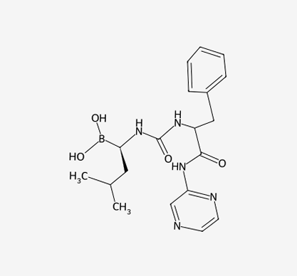 CC(C)C[C@H](NC(=O)NC(Cc1ccccc1)C(=O)Nc1cnccn1)B(O)O